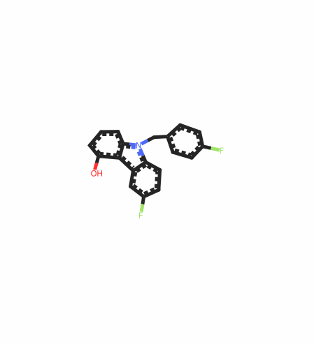 Oc1cccc2c1c1cc(F)ccc1n2Cc1ccc(F)cc1